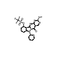 CSc1ncc2c(=O)n3c(nc2n1)c1c(OS(=O)(=O)C(F)(F)F)cccc1n3-c1ccccn1